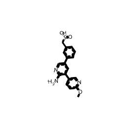 COc1ccc(-c2cc(-c3cccc(C[SH](=O)=O)c3)cnc2N)cn1